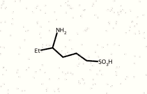 CCC(N)CCCS(=O)(=O)O